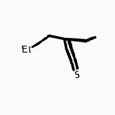 CCCC(C)=S